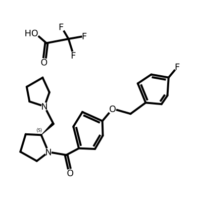 O=C(O)C(F)(F)F.O=C(c1ccc(OCc2ccc(F)cc2)cc1)N1CCC[C@H]1CN1CCCC1